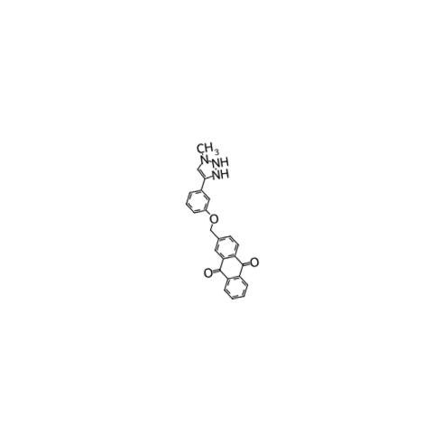 CN1C=C(c2cccc(OCc3ccc4c(c3)C(=O)c3ccccc3C4=O)c2)NN1